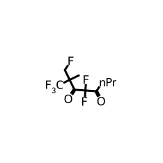 CCCC(=O)C(F)(F)C(=O)C(C)(CF)C(F)(F)F